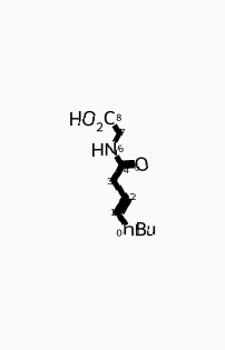 CCCCC=CCC(=O)NCC(=O)O